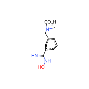 CN(Cc1cccc(C(=N)NO)c1)C(=O)O